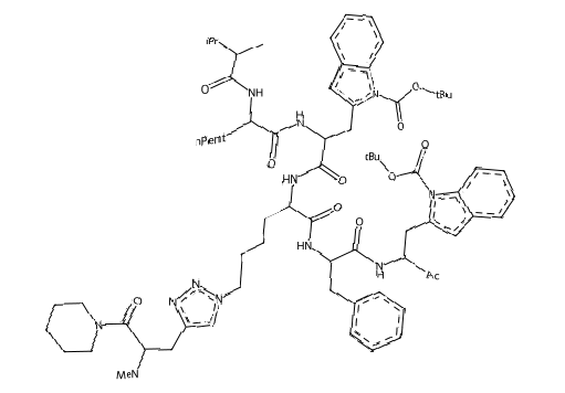 CCCCCC(NC(=O)C(C)C(C)C)C(=O)NC(Cc1cc2ccccc2n1C(=O)OC(C)(C)C)C(=O)NC(CCCCn1cc(CC(NC)C(=O)N2CCCCC2)nn1)C(=O)NC(Cc1ccccc1)C(=O)NC(Cc1cc2ccccc2n1C(=O)OC(C)(C)C)C(C)=O